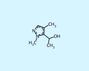 Cc1cnn(C)c1C(C)O